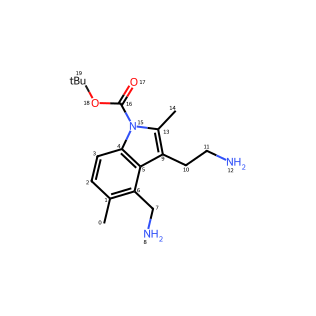 Cc1ccc2c(c1CN)c(CCN)c(C)n2C(=O)OC(C)(C)C